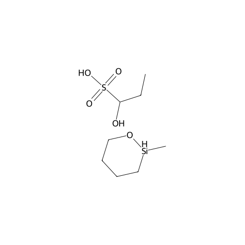 CCC(O)S(=O)(=O)O.C[SiH]1CCCCO1